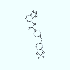 O=C(Nc1cccc2nsnc12)N1CCN(Cc2ccc3c(c2)OC(F)(F)O3)CC1